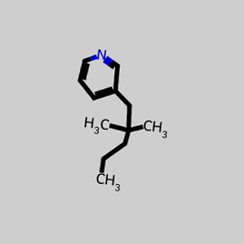 CCCC(C)(C)Cc1cccnc1